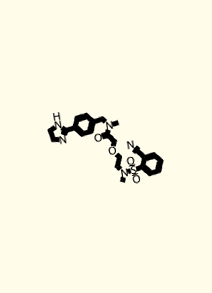 CN(Cc1ccc(C2=NCCN2)cc1)C(=O)COCCN(C)S(=O)(=O)c1ccccc1C#N